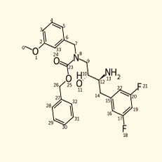 COc1cccc(CN(C[C@@H](O)[C@@H](N)Cc2cc(F)cc(F)c2)C(=O)OCc2ccccc2)c1